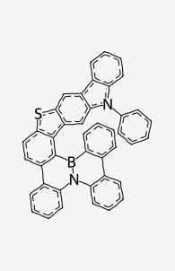 c1ccc(-n2c3ccccc3c3cc4sc5ccc6c(c5c4cc32)B2c3ccccc3-c3ccccc3N2c2ccccc2-6)cc1